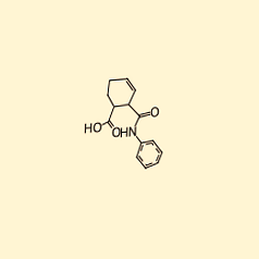 O=C(Nc1ccccc1)C1C=CCCC1C(=O)O